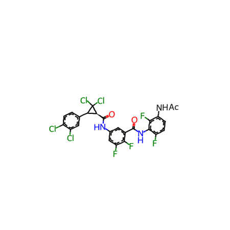 CC(=O)Nc1ccc(F)c(NC(=O)c2cc(NC(=O)[C@H]3C(c4ccc(Cl)c(Cl)c4)C3(Cl)Cl)cc(F)c2F)c1F